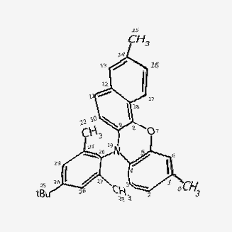 Cc1ccc2c(c1)Oc1c(ccc3cc(C)ccc13)N2c1c(C)cc(C(C)(C)C)cc1C